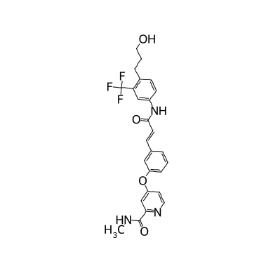 CNC(=O)c1cc(Oc2cccc(/C=C/C(=O)Nc3ccc(CCCO)c(C(F)(F)F)c3)c2)ccn1